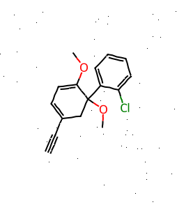 C#CC1=CC=C(OC)C(OC)(c2ccccc2Cl)C1